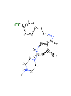 C=C(NCCc1ccc(Cl)cc1)c1cnc(N2CCN(C)CC2)cc1C(F)(F)F